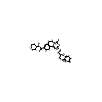 O=C(NC1CCOCC1)c1ccc2c(c1)CCn1c-2cc(OCC2COc3ncccc3O2)nc1=O